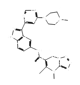 CC1=C(C(=O)Nc2ccc3[nH]nc(-c4cc(N5CCN(C)[C@@H](C)C5)ncn4)c3c2)[C@H](C)n2nnnc2N1C